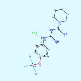 Cl.N=C(NC(=N)N1CCCCC1)Nc1ccc(OC(F)(F)F)cc1